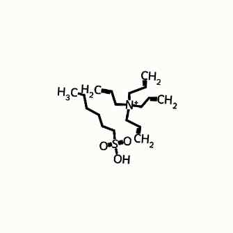 C=CC[N+](CC=C)(CC=C)CC=C.CCCCCCS(=O)(=O)O